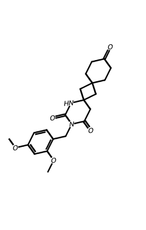 COc1ccc(CN2C(=O)CC3(CC4(CCC(=O)CC4)C3)NC2=O)c(OC)c1